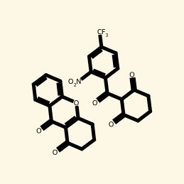 O=C1CCCC(=O)C1C(=O)c1ccc(C(F)(F)F)cc1[N+](=O)[O-].O=C1CCCc2oc3ccccc3c(=O)c21